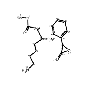 CC(C)(C)OC(=O)NC(CCCCN)C(=O)O.O=C1OC1c1ccccc1